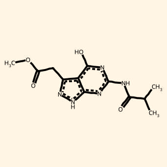 COC(=O)Cc1n[nH]c2nc(NC(=O)C(C)C)nc(O)c12